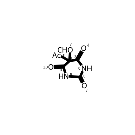 CC(=O)C1(C=O)C(=O)NC(=O)NC1=O